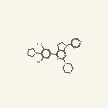 Cc1cc(-c2nc(N3CCOCC3)nc3c2CCN3c2ccncc2)cc(O)c1N1CCCC1